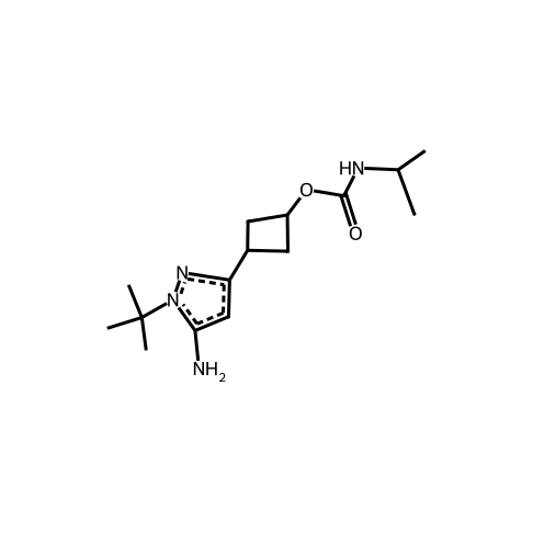 CC(C)NC(=O)OC1CC(c2cc(N)n(C(C)(C)C)n2)C1